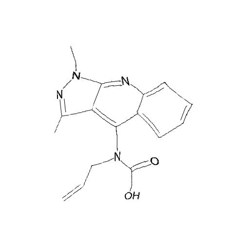 C=CCN(C(=O)O)c1c2ccccc2nc2c1c(C)nn2C